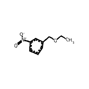 CCOCc1cccc([N+](=O)[O-])c1